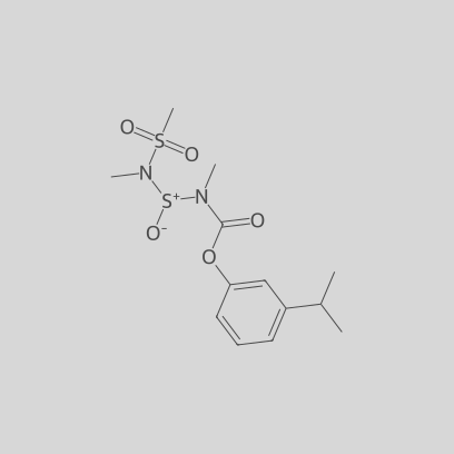 CC(C)c1cccc(OC(=O)N(C)[S+]([O-])N(C)S(C)(=O)=O)c1